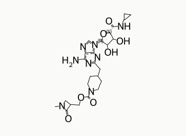 CN1CC(COC(=O)N2CCC(Cc3nc(N)c4ncn([C@@H]5O[C@H](C(=O)NC6CC6)C(O)C5O)c4n3)CC2)C1=O